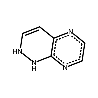 C1=Cc2nccnc2NN1